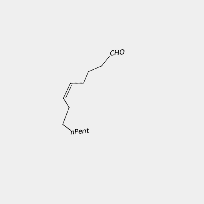 CCCCCCC/C=C\CCCC=O